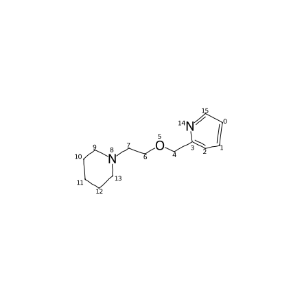 c1ccc(COCCN2CCCCC2)nc1